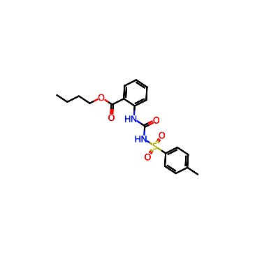 CCCCOC(=O)c1ccccc1NC(=O)NS(=O)(=O)c1ccc(C)cc1